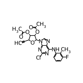 C#CC1OC(n2cnc3c(Nc4cccc(F)c4C)nc(Cl)nc32)C(OC(C)=O)C1OC(C)=O